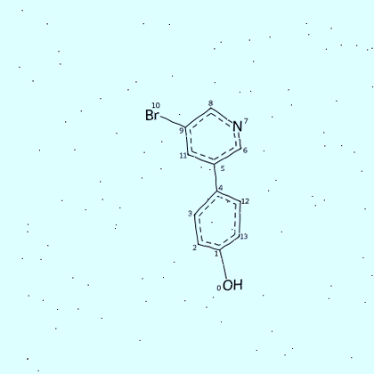 Oc1ccc(-c2cncc(Br)c2)cc1